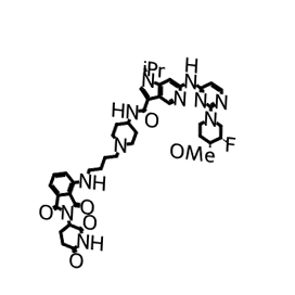 CO[C@@H]1CCN(c2nccc(Nc3cc4c(cn3)c(C(=O)NC3CCN(CCCCNc5cccc6c5C(=O)N(C5CCC(=O)NC5=O)C6=O)CC3)cn4C(C)C)n2)C[C@@H]1F